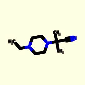 CCN1CCN(C(C)(C)C#N)CC1